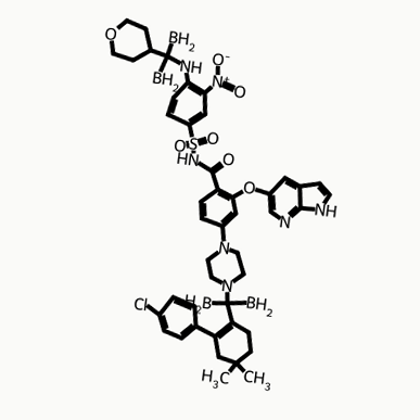 BC(B)(Nc1ccc(S(=O)(=O)NC(=O)c2ccc(N3CCN(C(B)(B)C4=C(c5ccc(Cl)cc5)CC(C)(C)CC4)CC3)cc2Oc2cnc3[nH]ccc3c2)cc1[N+](=O)[O-])C1CCOCC1